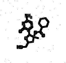 CC1(OC(=O)C2CCCCC2)CC(CO)OC1n1ccc(N)nc1=O